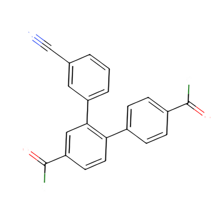 N#Cc1cccc(-c2cc(C(=O)Cl)ccc2-c2ccc(C(=O)Cl)cc2)c1